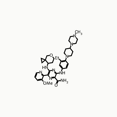 CCc1cc(Nc2nc(NC3CCOCC34CC4)c(-c3ncccc3OC)nc2C(N)=O)ccc1N1CCC(N2CCN(C)CC2)CC1